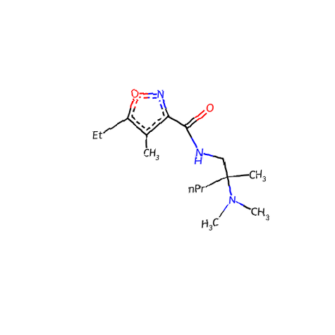 CCCC(C)(CNC(=O)c1noc(CC)c1C)N(C)C